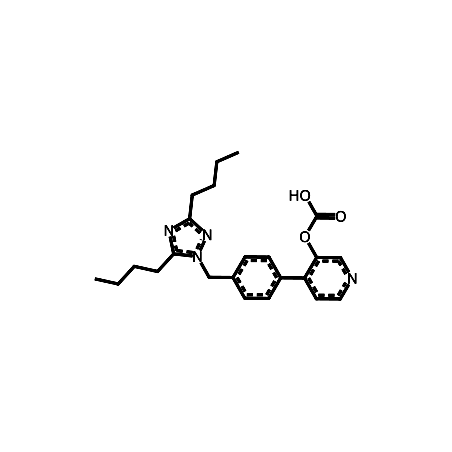 CCCCc1nc(CCCC)n(Cc2ccc(-c3ccncc3OC(=O)O)cc2)n1